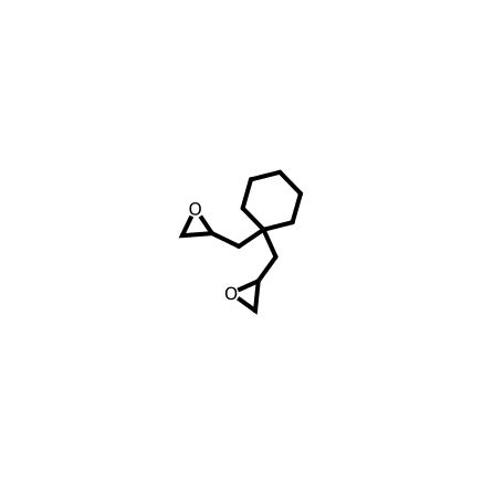 C1CCC(CC2CO2)(CC2CO2)CC1